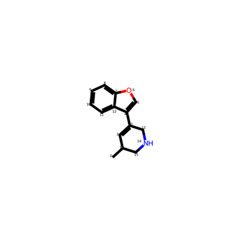 CC1C=C(c2coc3ccccc23)CNC1